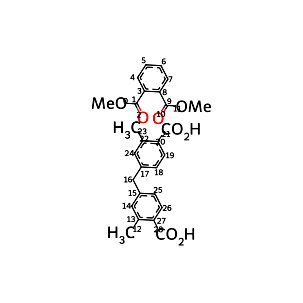 COC(=O)c1ccccc1C(=O)OC.Cc1cc(Cc2ccc(C(=O)O)c(C)c2)ccc1C(=O)O